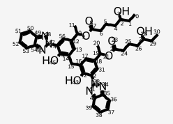 CCC(O)CCCC(=O)OC(C)c1cc(Cc2cc(C(C)OC(=O)CCCC(O)CC)cc(-n3nc4ccccc4n3)c2O)c(O)c(-n2nc3ccccc3n2)c1